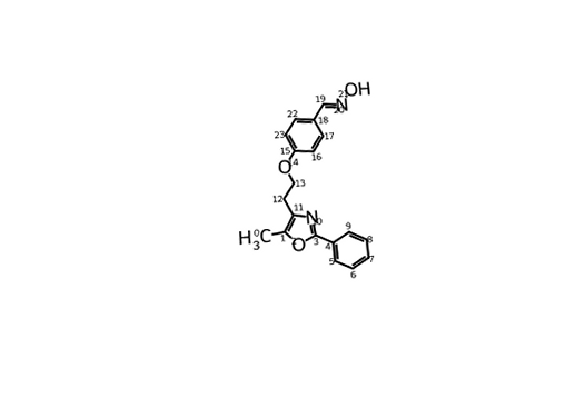 Cc1oc(-c2ccccc2)nc1CCOc1ccc(C=NO)cc1